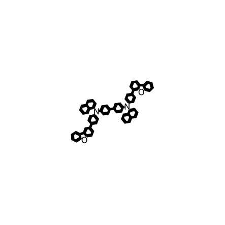 c1ccc2c(N(c3ccc(-c4ccc(N(c5ccc(-c6cccc7c6oc6ccccc67)cc5)c5cccc6ccccc56)cc4)cc3)c3ccc(-c4ccc5oc6ccccc6c5c4)cc3)cccc2c1